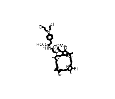 CC[C@H]1c2cc3[nH]c4c(c3C)C(=O)C(C3OC3OC)c4c3nc(cc4[nH]c(cc(n2)[C@@H]1C)c(C(C)=O)c4C)[C@@H](C)[C@@H]3CCC(=O)NC(Cc1ccc(N(CCCl)CCCl)cc1)C(=O)O